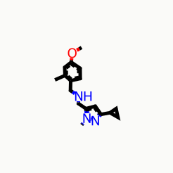 COc1ccc(CNCc2cc(C3CC3)nn2C)c(C)c1